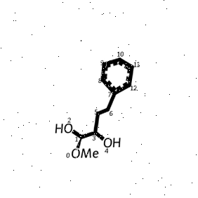 CO[C@@H](O)C(O)CCc1ccccc1